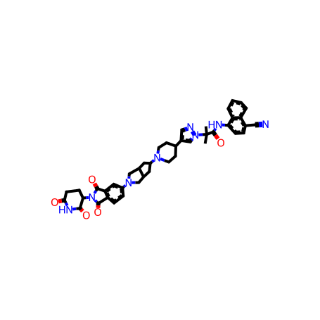 CC(C)(C(=O)Nc1ccc(C#N)c2ccccc12)n1cc(C2CCN(C3CC4CN(c5ccc6c(c5)C(=O)N(C5CCC(=O)NC5=O)C6=O)CC4C3)CC2)cn1